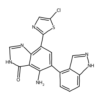 Nc1c(-c2cccc3[nH]ncc23)cc(-c2ncc(Cl)s2)c2nc[nH]c(=O)c12